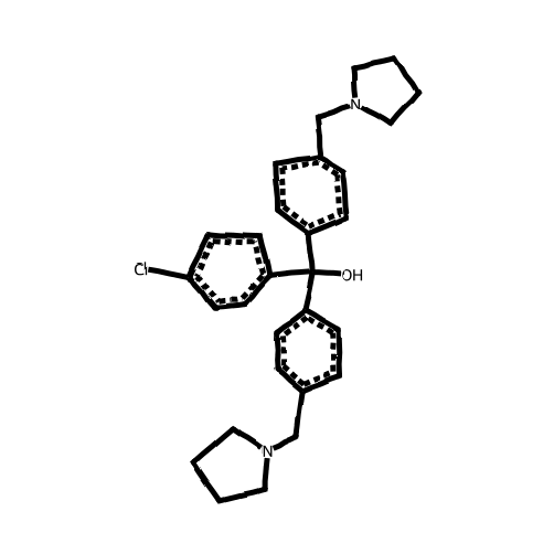 OC(c1ccc(Cl)cc1)(c1ccc(CN2CCCC2)cc1)c1ccc(CN2CCCC2)cc1